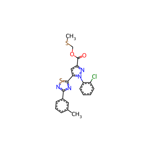 CSCOC(=O)c1cc(-c2nc(-c3cccc(C)c3)ns2)n(-c2ccccc2Cl)n1